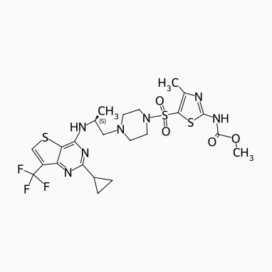 COC(=O)Nc1nc(C)c(S(=O)(=O)N2CCN(C[C@H](C)Nc3nc(C4CC4)nc4c(C(F)(F)F)csc34)CC2)s1